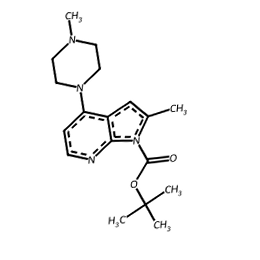 Cc1cc2c(N3CCN(C)CC3)ccnc2n1C(=O)OC(C)(C)C